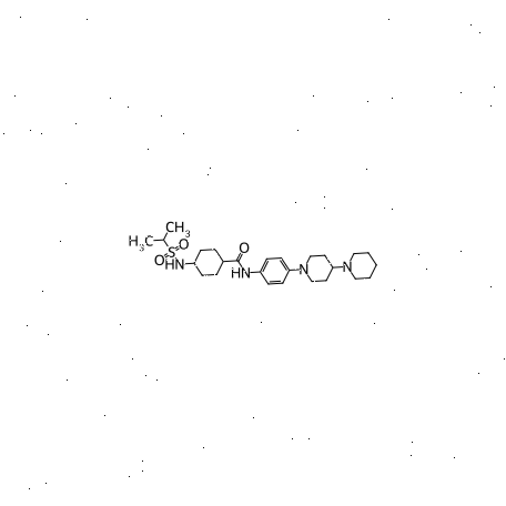 CC(C)S(=O)(=O)NC1CCC(C(=O)Nc2ccc(N3CCC(N4CCCCC4)CC3)cc2)CC1